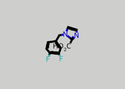 O=C(O)c1nccn1Cc1ccc(F)c(F)c1